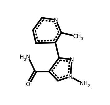 Cc1ncccc1-c1nn(N)cc1C(N)=O